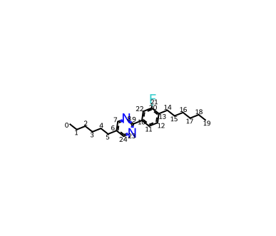 CCCCCCc1cnc(-c2ccc(CCCCCC)c(F)c2)nc1